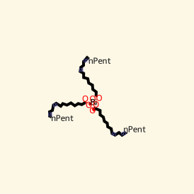 CCCCC/C=C\C/C=C\CCCCCCCC(=O)[O][Bi]([O]C(=O)CCCCCCC/C=C\C/C=C\CCCCC)[O]C(=O)CCCCCCC/C=C\C/C=C\CCCCC